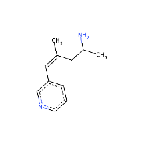 CC(=Cc1cccnc1)CC(C)N